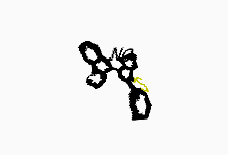 O=[N+]([O-])c1c(-c2cc3c4ccccc4sc3c3ccccc23)c2ccccc2c2ccccc12